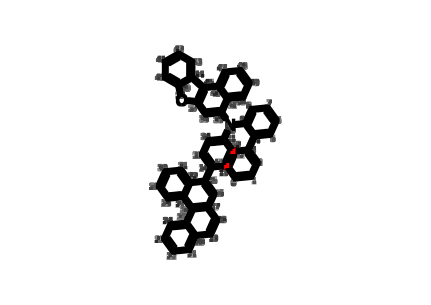 c1ccc(-c2ccccc2N(c2ccc(-c3cc4ccc5ccccc5c4c4ccccc34)cc2)c2cc3oc4ccccc4c3c3ccccc23)cc1